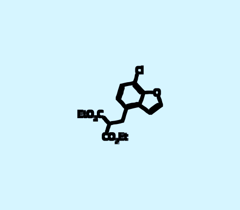 CCOC(=O)C(Cc1ccc(Cl)c2occc12)C(=O)OCC